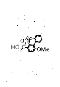 COc1ccc(C(=O)O)c([N+](=O)[O-])c1-c1ccccc1C(C)=O